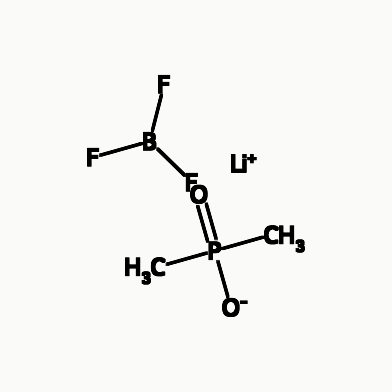 CP(C)(=O)[O-].FB(F)F.[Li+]